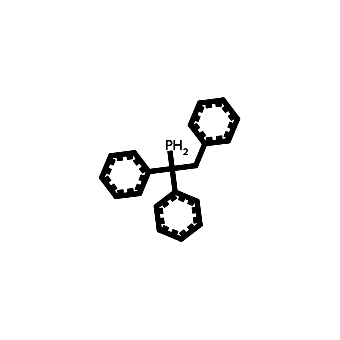 PC(Cc1ccccc1)(c1ccccc1)c1ccccc1